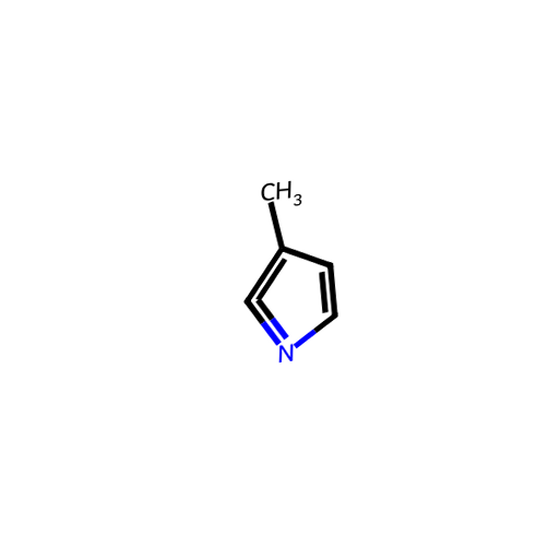 CC1=C=NC=C1